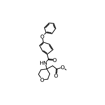 COC(=O)CC1(NC(=O)c2ccc(Oc3ccccc3)cc2)CCOCC1